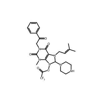 CC(C)=CCN1c2c(n(C)c(=O)n(CC(=O)c3ccccc3)c2=O)N(OC(=O)C(F)(F)F)C1N1CCNCC1